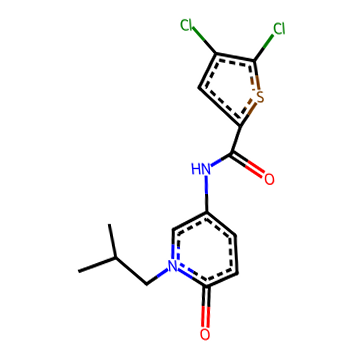 CC(C)Cn1cc(NC(=O)c2cc(Cl)c(Cl)s2)ccc1=O